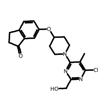 Cc1c(Cl)nc(CO)nc1N1CCC(Oc2ccc3c(c2)C(=O)CC3)CC1